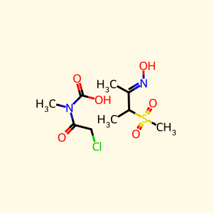 C/C(=N\O)C(C)S(C)(=O)=O.CN(C(=O)O)C(=O)CCl